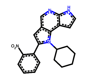 O=[N+]([O-])c1ccccc1-c1cc2cnc3[nH]ccc3c2n1C1CCCCC1